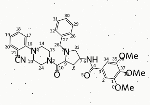 COc1cc(C(=O)NC2CC(C(=O)N3CCN(c4ccccc4C#N)CC3)N(Cc3ccccc3)C2)cc(OC)c1OC